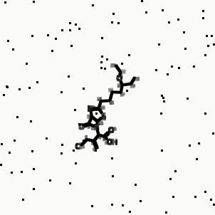 C=C(CCl)C(C(=O)O)N1C(=O)C2N=C(CCCCC(CC)OCC)SC21